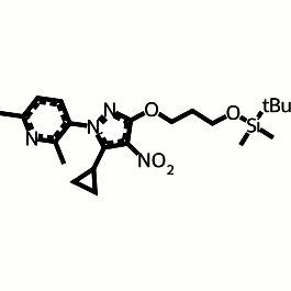 Cc1ccc(-n2nc(OCCCO[Si](C)(C)C(C)(C)C)c([N+](=O)[O-])c2C2CC2)c(C)n1